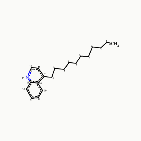 CCCCCCCCCCCc1ccnc2ccccc12